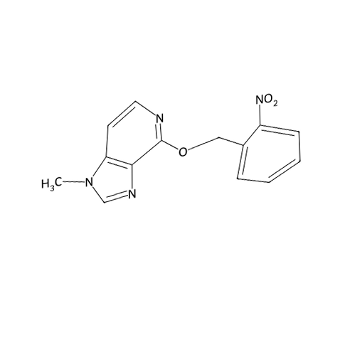 Cn1cnc2c(OCc3ccccc3[N+](=O)[O-])nccc21